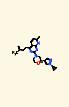 C=C(CCc1nc(N2CCO[C@@H](c3cnn(C4CC4)c3)C2)nc2nc(C)ccc12)C(F)(F)F